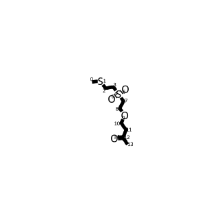 CSCCS(=O)(=O)CCOCCC(C)=O